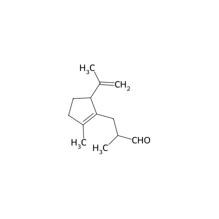 C=C(C)C1CCC(C)=C1CC(C)C=O